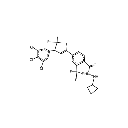 O=C(NNC1CCC1)c1ccc(/C(F)=C/C(c2cc(Cl)c(Cl)c(Cl)c2)C(F)(F)F)cc1C(F)(F)F